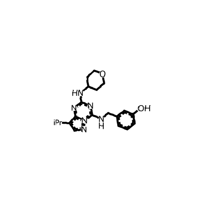 CC(C)c1cnn2c(NCc3cccc(O)c3)nc(NC3CCOCC3)nc12